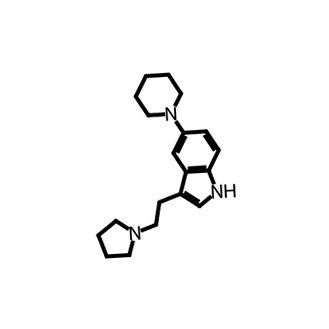 c1cc2[nH]cc(CCN3CCCC3)c2cc1N1CCCCC1